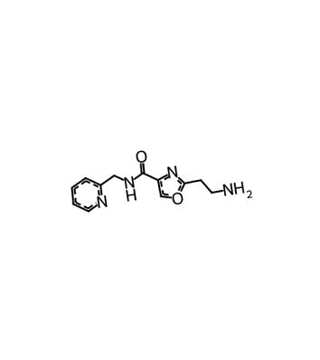 NCCc1nc(C(=O)NCc2ccccn2)co1